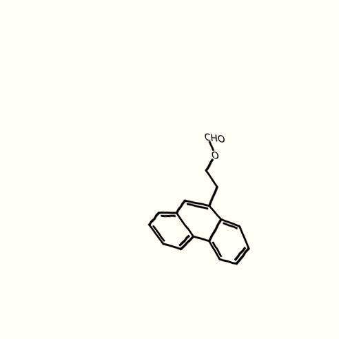 O=COCCc1cc2ccccc2c2ccccc12